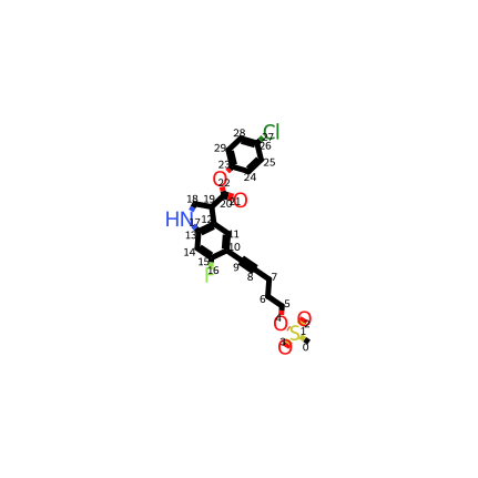 CS(=O)(=O)OCCCC#Cc1cc2c(cc1F)NCC2C(=O)Oc1ccc(Cl)cc1